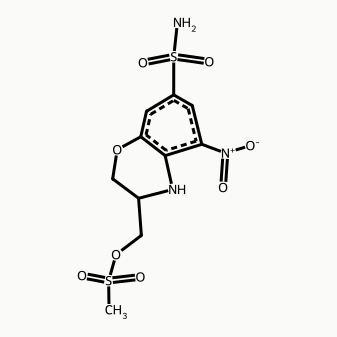 CS(=O)(=O)OCC1COc2cc(S(N)(=O)=O)cc([N+](=O)[O-])c2N1